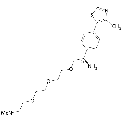 CNCCOCCOCCOC[C@H](N)c1ccc(-c2scnc2C)cc1